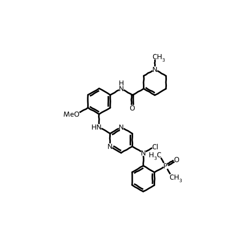 COc1ccc(NC(=O)C2=CCCN(C)C2)cc1Nc1ncc(N(Cl)c2ccccc2P(C)(C)=O)cn1